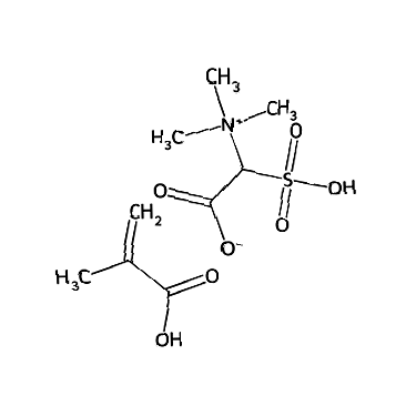 C=C(C)C(=O)O.C[N+](C)(C)C(C(=O)[O-])S(=O)(=O)O